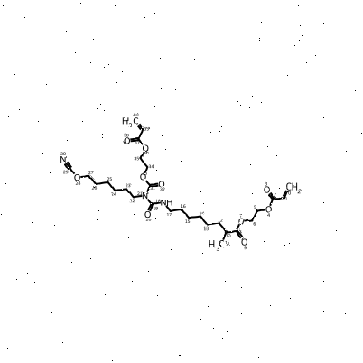 C=CC(=O)OCCOC(=O)C(C)CCCCCCNC(=O)N(CCCCCCOC#N)C(=O)OCCOC(=O)C=C